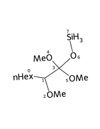 CCCCCCC(OC)C(OC)(OC)O[SiH3]